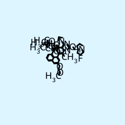 COCOc1cc(-c2oc(=O)c3c(N4CC[C@H]4CO[Si](C)(C)C(C)(C)C)nc(OC[C@@]45CCCN4C[C@H](F)C5)nc3c2C)c2c(C#N)cccc2c1